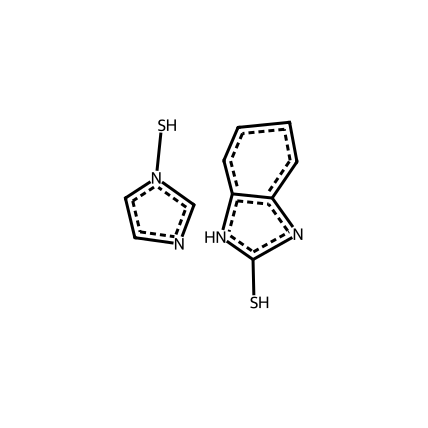 Sc1nc2ccccc2[nH]1.Sn1ccnc1